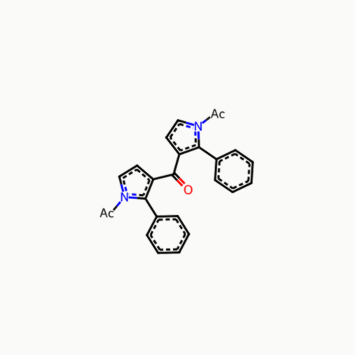 CC(=O)n1ccc(C(=O)c2ccn(C(C)=O)c2-c2ccccc2)c1-c1ccccc1